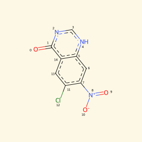 O=c1nc[nH]c2cc([N+](=O)[O-])c(Cl)cc12